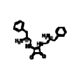 N[C@H](CNc1c(NC[C@@H](N)Cc2ccccc2)c(=O)c1=O)Cc1ccccc1